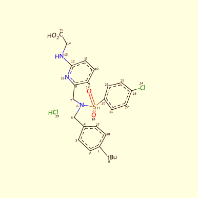 CC(C)(C)c1ccc(CN(Cc2cccc(NCC(=O)O)n2)S(=O)(=O)c2ccc(Cl)cc2)cc1.Cl